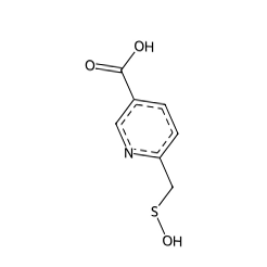 O=C(O)c1ccc(CSO)nc1